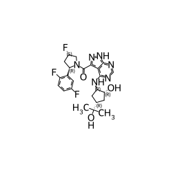 CC(C)(O)[C@H]1C[C@@H](O)[C@H](Nc2ncnc3[nH]nc(C(=O)N4C[C@@H](F)C[C@@H]4c4cc(F)ccc4F)c23)C1